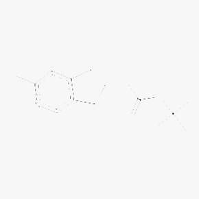 CC(C)(C)OC(=O)C[C@H]1Cc2cc(Cl)ncc2[C@H]1O